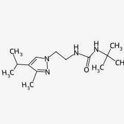 Cc1nn(CCNC(=O)NC(C)(C)C)cc1C(C)C